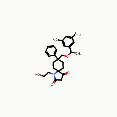 C[C@@H](OCC1(c2ccccc2)CCC2(CC1)C(=O)CC(=O)N2CCO)c1cc(C(F)(F)F)cc(C(F)(F)F)c1